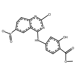 COC(=O)c1ccc(Nc2nc(Cl)nc3ccc([N+](=O)[O-])cc23)cc1O